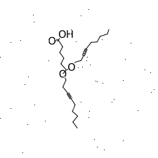 CCCCCC#CCCOC(CCCCC(=O)O)OCCC#CCCCCC